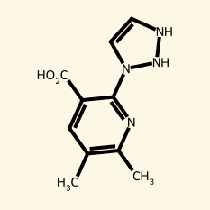 Cc1cc(C(=O)O)c(N2C=CNN2)nc1C